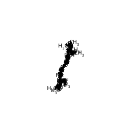 COc1cc(-n2c(N(C)c3ccc(OC)c(OC)c3)cnc2SCc2c(F)cc(-c3ccc(OCCOc4ccc(-c5cc(F)c(CSc6ncc(N(C)c7ccc(OC)c(OC)c7)n6-c6ccc(F)c(OC)c6)c(F)c5)cc4)cc3)cc2F)ccc1F